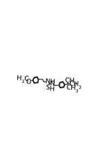 COc1ccc(CCNC(=S)NCc2ccc(C(C)(C)C)cc2)cc1